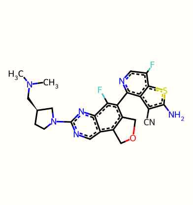 CN(C)C[C@@H]1CCN(c2ncc3c4c(c(-c5ncc(F)c6sc(N)c(C#N)c56)c(F)c3n2)COC4)C1